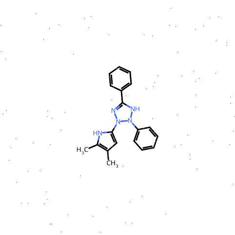 Cc1cc(N2N=C(c3ccccc3)NN2c2ccccc2)[nH]c1C